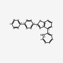 C1=CC=C(c2cccc3c2C=C(c2ccc(-c4ccccc4)cc2)C3)NC=C1